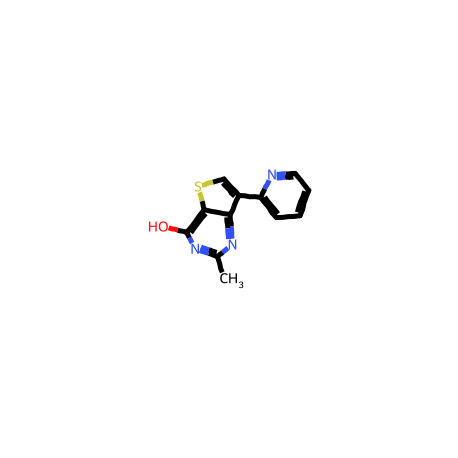 Cc1nc(O)c2scc(-c3ccccn3)c2n1